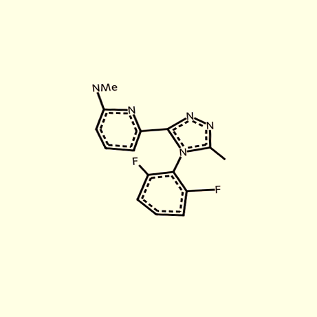 CNc1cccc(-c2nnc(C)n2-c2c(F)cccc2F)n1